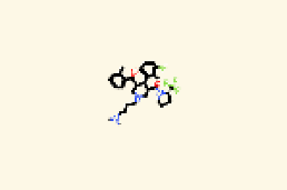 Cc1ccccc1C(=O)C1CN(CCCCN(C)C)CC(C(=O)N2CCC[C@H]2C(F)(F)F)C1c1cccc(F)c1C